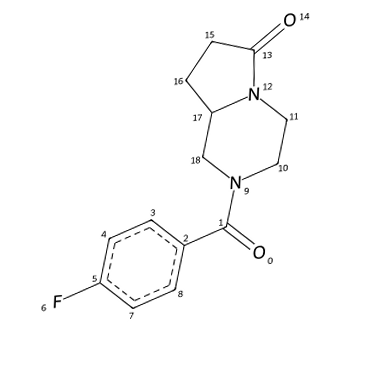 O=C(c1ccc(F)cc1)N1CCN2C(=O)CCC2C1